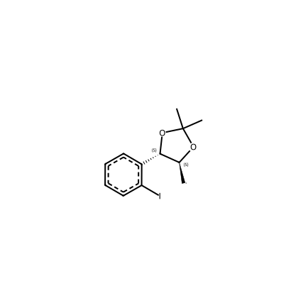 [CH2][C@@H]1OC(C)(C)O[C@H]1c1ccccc1I